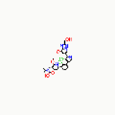 COc1nc(-c2cccc(-c3ccnc(-c4cc(OC)c5nc(CO)nn5c4)c3Cl)c2Cl)ccc1CN(C(=O)O)C(C)C